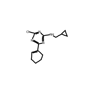 Clc1nc(NCC2CC2)nc(C2=CCCCC2)n1